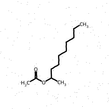 [CH2]C(=O)OC(C)CCCCCCCC